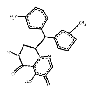 Cc1cccc(C(c2cccc(C)c2)C2CN(C(C)C)C(=O)c3c(O)c(=O)cnn32)c1